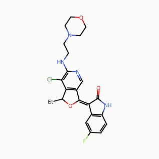 CCC1OC(=C2C(=O)Nc3ccc(F)cc32)c2cnc(NCCN3CCOCC3)c(Cl)c21